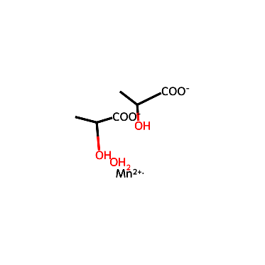 CC(O)C(=O)[O-].CC(O)C(=O)[O-].O.[Mn+2]